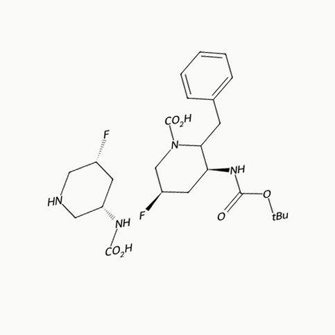 CC(C)(C)OC(=O)N[C@H]1C[C@@H](F)CN(C(=O)O)C1Cc1ccccc1.O=C(O)N[C@@H]1CNC[C@H](F)C1